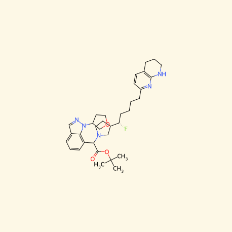 CC(C)(C)OC(=O)C(c1cccc2cnn(C3CCOC3)c12)N1CCC([C@@H](F)CCCCc2ccc3c(n2)NCCC3)C1